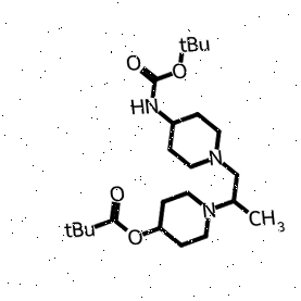 CC(CN1CCC(NC(=O)OC(C)(C)C)CC1)N1CCC(OC(=O)C(C)(C)C)CC1